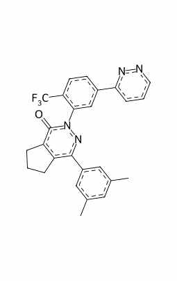 Cc1cc(C)cc(-c2nn(-c3cc(-c4cccnn4)ccc3C(F)(F)F)c(=O)c3c2CCC3)c1